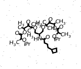 CC(C)OC(C)C(=O)OC(C)C(=O)C(C)(C)OCC(COC(C)(C)C(=O)C(C)OC(=O)C(C)OC(C)C)NC(=O)CCCC1CCC1